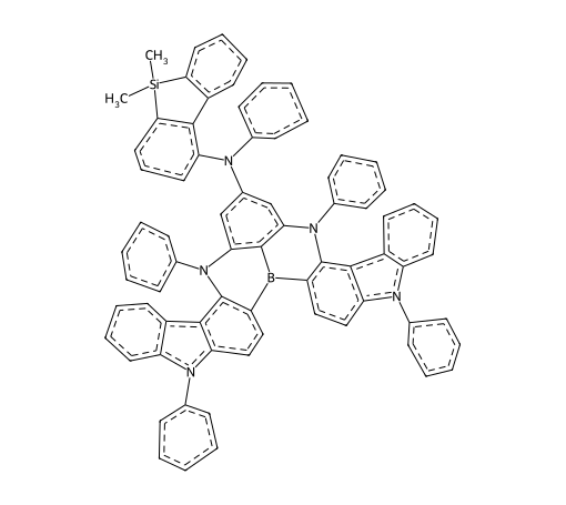 C[Si]1(C)c2ccccc2-c2c(N(c3ccccc3)c3cc4c5c(c3)N(c3ccccc3)c3c(ccc6c3c3ccccc3n6-c3ccccc3)B5c3ccc5c(c3N4c3ccccc3)c3ccccc3n5-c3ccccc3)cccc21